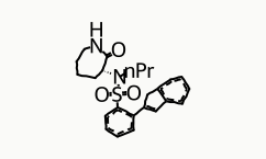 CCCN([C@@H]1CCCCNC1=O)S(=O)(=O)c1ccccc1C1=Cc2ccccc2C1